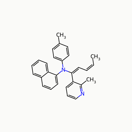 C/C=C\C=C(/c1cccnc1C)N(c1ccc(C)cc1)c1cccc2ccccc12